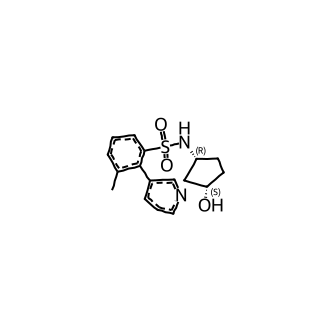 Cc1cccc(S(=O)(=O)N[C@@H]2CC[C@H](O)C2)c1-c1cccnc1